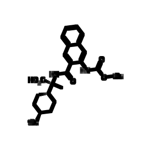 CC(C)(C)OC(=O)Nc1cc2ccccc2cc1C(=O)N[C@](C)(C(=O)O)[C@H]1CC[C@H](C(C)(C)C)CC1